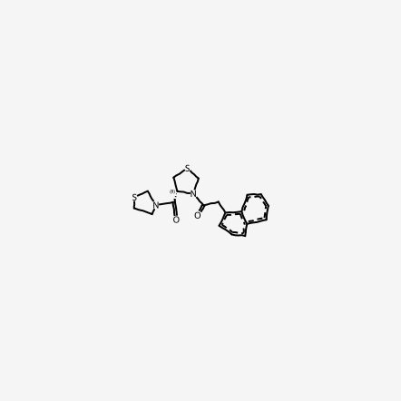 O=C([C@@H]1CSCN1C(=O)Cc1cccc2ccccc12)N1CCSC1